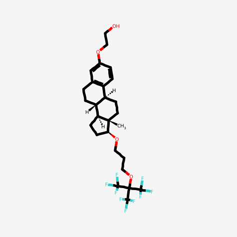 C[C@]12CC[C@@H]3c4ccc(OCCO)cc4CC[C@H]3[C@@H]1CC[C@@H]2OCCCOC(C(F)(F)F)(C(F)(F)F)C(F)(F)F